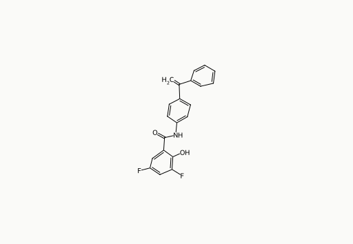 C=C(c1ccccc1)c1ccc(NC(=O)c2cc(F)cc(F)c2O)cc1